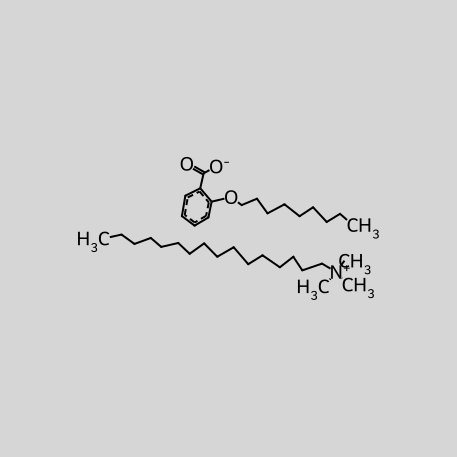 CCCCCCCCCCCCCCCC[N+](C)(C)C.CCCCCCCCCOc1ccccc1C(=O)[O-]